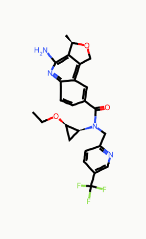 CCO[C@@H]1C[C@@H]1N(Cc1ccc(C(F)(F)F)cn1)C(=O)c1ccc2nc(N)c3c(c2c1)CO[C@@H]3C